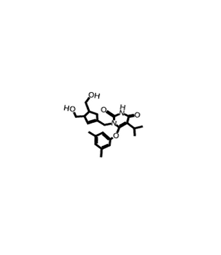 Cc1cc(C)cc(Oc2c(C(C)C)c(=O)[nH]c(=O)n2CC2=CC(CO)C(CO)C2)c1